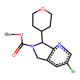 CC(C)(C)OC(=O)N1Cc2cc(Br)cnc2C1C1CCOCC1